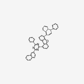 C1=CC2=C(c3cccc4c3oc3cccc(-c5nc(-c6ccccc6)nc(-c6ccc7ccccc7c6)n5)c34)C=CC(c3ccccc3)C2C=C1